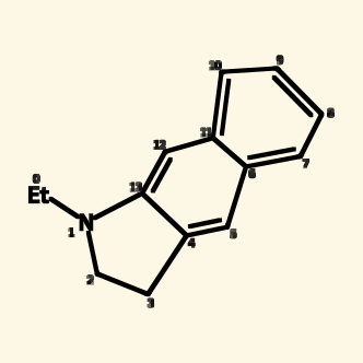 CCN1CCc2cc3ccccc3cc21